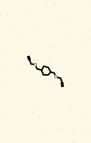 C#CCOCC1CCC(COCC#C)CC1